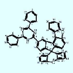 c1ccc(-c2nc(-c3ccccc3)nc(-c3ccc4c(c3)-c3c(ccc5oc6ccccc6c35)C43c4ccccc4Oc4ccccc43)n2)cc1